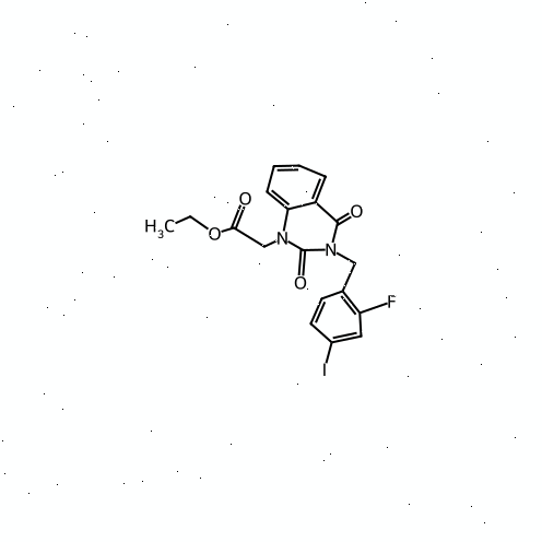 CCOC(=O)Cn1c(=O)n(Cc2ccc(I)cc2F)c(=O)c2ccccc21